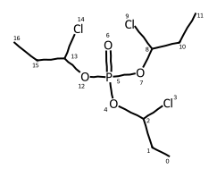 CCC(Cl)OP(=O)(OC(Cl)CC)OC(Cl)CC